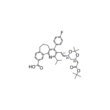 CC(C)c1nc2c(c(-c3ccc(F)cc3)c1/C=C/[C@@H]1C[C@H](CC(=O)OC(C)(C)C)OC(C)(C)O1)CCCc1ccc(C(=O)O)cc1-2